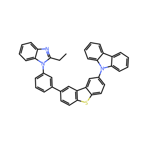 CCc1nc2ccccc2n1-c1cccc(-c2ccc3sc4ccc(-n5c6ccccc6c6ccccc65)cc4c3c2)c1